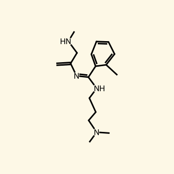 C=C(CNC)/N=C(/NCCCN(C)C)c1ccccc1C